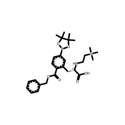 CC1(C)OB(c2ccc(C(=O)OCc3ccccc3)c(C[C@H](NCC[Si](C)(C)C)C(=O)O)c2)OC1(C)C